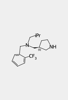 CC(C)CN(Cc1ccccc1C(F)(F)F)C[C@H]1CCNC1